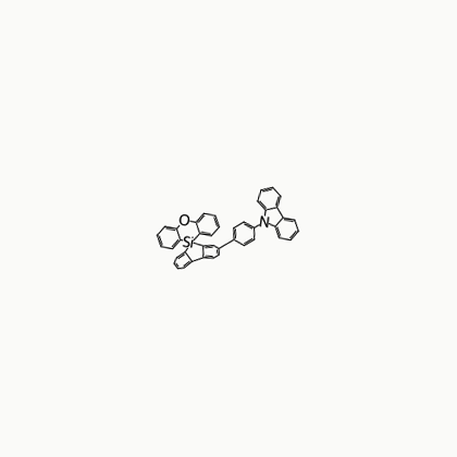 c1ccc2c(c1)Oc1ccccc1[Si]21c2ccccc2-c2ccc(-c3ccc(-n4c5ccccc5c5ccccc54)cc3)cc21